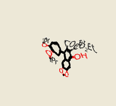 CCOC(=O)c1c(C(=O)OCC)c(-c2ccc(OC(C)C)c(OC(C)C)c2)c2cc3c(cc2c1O)OCO3